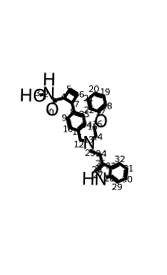 O=C(NO)C1C#CC1c1ccc(CN(CCOc2ccccc2)CCc2c[nH]c3ccccc23)cc1